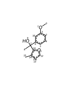 COc1cccc(C(C)(O)c2ocnc2C)c1